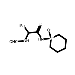 CCC(C)C(N[C]=O)C(=O)N[N+]1([O-])CCCCC1